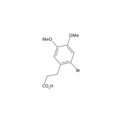 COc1cc(Br)c(CCC(=O)O)cc1OC